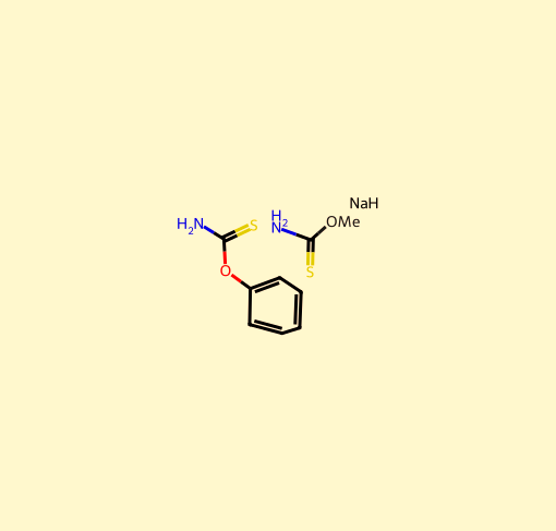 COC(N)=S.NC(=S)Oc1ccccc1.[NaH]